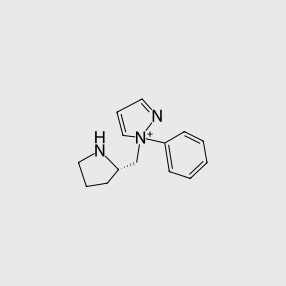 C1=C[N+](C[C@@H]2CCCN2)(c2ccccc2)N=C1